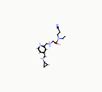 CCN(CCC#N)C(=O)CNCc1cc(/C=N/C2CC2)ccn1